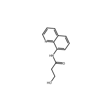 O=C(CCO)Nc1cccc2cccnc12